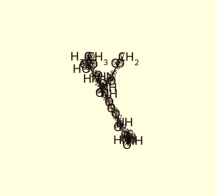 C=CCOC(=O)CCCCCNC(=O)CCC(=O)NC(CCCCNC(=O)CCCCC(O)=C1C(=O)CC(C)(C)CC1=O)C(=O)NCCCOCCOCCOCCCNC(=O)CCCC[C@@H]1SC[C@@H]2NC(=O)N[C@@H]21